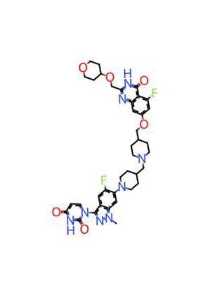 Cn1nc(-n2ccc(=O)[nH]c2=O)c2cc(F)c(N3CCC(CN4CCC(COc5cc(F)c6c(=O)[nH]c(COC7CCOCC7)nc6c5)CC4)CC3)cc21